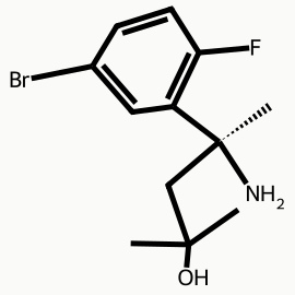 CC(C)(O)C[C@](C)(N)c1cc(Br)ccc1F